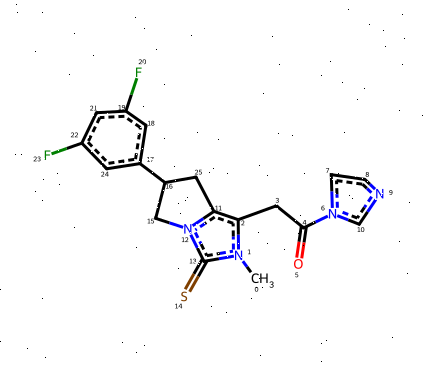 Cn1c(CC(=O)n2ccnc2)c2n(c1=S)CC(c1cc(F)cc(F)c1)C2